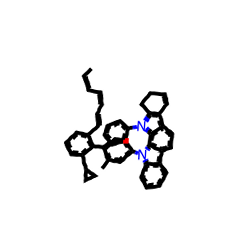 C\C=C/C=C\C=C\c1cccc(C2CC2)c1-c1ccc(-n2c3ccccc3c3ccc4c5c(n(-c6ccccc6)c4c32)CCC=C5)cc1C